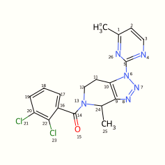 Cc1ccnc(-n2nnc3c2CCN(C(=O)c2cccc(Cl)c2Cl)C3C)n1